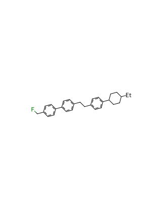 CCC1CCC(c2ccc(CCc3ccc(-c4ccc(CF)cc4)cc3)cc2)CC1